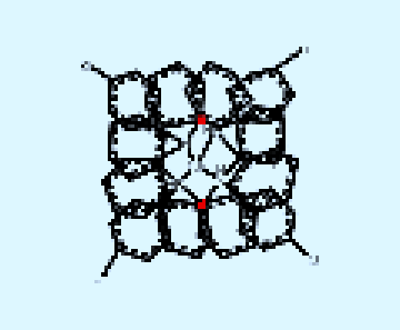 Clc1ccc([PH](c2ccccc2)(c2ccccc2)[Pd]([PH](c2ccccc2)(c2ccccc2)c2ccc(Cl)cc2)([PH](c2ccccc2)(c2ccccc2)c2ccc(Cl)cc2)[PH](c2ccccc2)(c2ccccc2)c2ccc(Cl)cc2)cc1